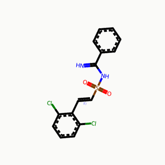 N=C(NS(=O)(=O)/C=C/c1c(Cl)cccc1Cl)c1ccccc1